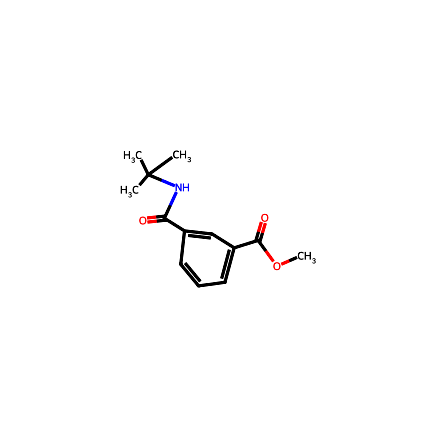 COC(=O)c1cccc(C(=O)NC(C)(C)C)c1